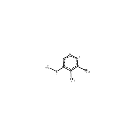 CC(C)(C)Sc1ccnc(N)c1C(F)(F)F